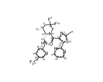 Cc1nc(C(=O)N2CC(F)(F)C[C@@H](C)[C@H]2CNc2ccc(C(F)(F)F)cn2)c(-c2ncccn2)s1